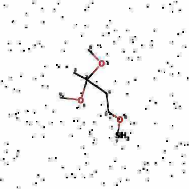 COC(C)(CCO[SiH3])OC